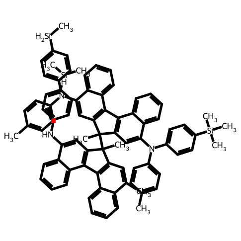 C[SiH2]c1ccc(N(c2ccc(C)cc2)c2cc3c(c4ccccc24)-c2c(cc(N(c4ccc(C)cc4)c4ccc([Si](C)(C)C)cc4)c4ccccc24)C3(C)C2(C)c3cc(C)c4ccccc4c3-c3c2cc(Nc2ccc([SiH](C)C)cc2)c2ccccc32)cc1